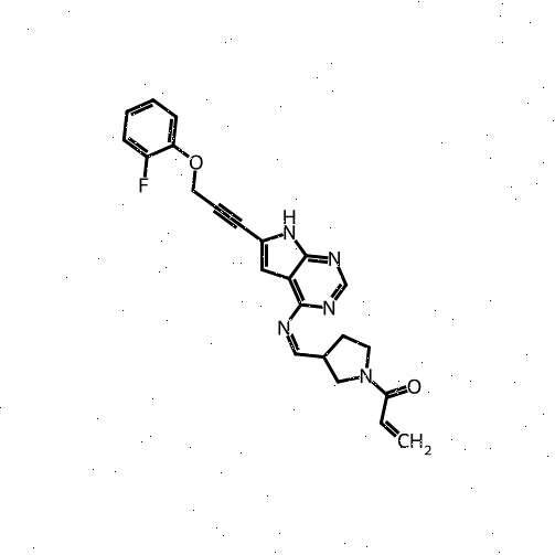 C=CC(=O)N1CCC(/C=N\c2ncnc3[nH]c(C#CCOc4ccccc4F)cc23)C1